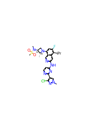 CC(C)c1c(F)cc(N2C[C@H](N(C)S(C)(=O)=O)[C@H]2C)c2cnc(Nc3ccnc(-c4cn(C)nc4Cl)n3)cc12